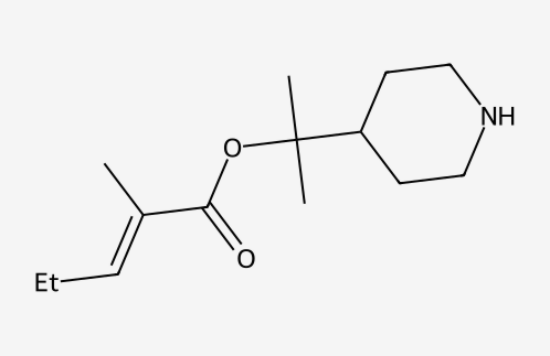 CC/C=C(\C)C(=O)OC(C)(C)C1CCNCC1